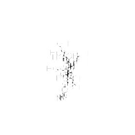 [N-]=[N+]=NC1CCC(O[C@@H]2OC(CO)[C@@H](O)C(OC(O)C(OC(/C=C(\O)[C@H](O)CCO)OCO[C@@H](O)C(O)C(O)[C@H](O)CCO)C(O)[C@H](O)CCO)C2O)CC1